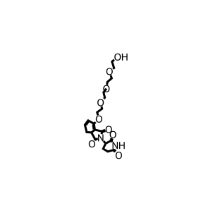 O=C1CCC(N2C(=O)C3=C(OCCOCCOCCOCCO)C=CCC3C2=O)C(=O)N1